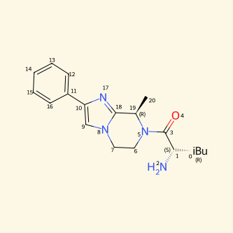 CC[C@@H](C)[C@H](N)C(=O)N1CCn2cc(-c3ccccc3)nc2[C@H]1C